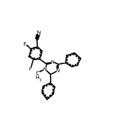 CN1C(c2cc(C#N)c(F)cc2F)=NC(c2ccccc2)=NC1c1ccccc1